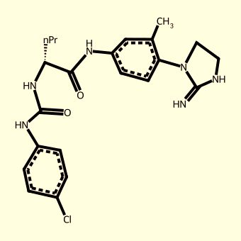 CCC[C@@H](NC(=O)Nc1ccc(Cl)cc1)C(=O)Nc1ccc(N2CCNC2=N)c(C)c1